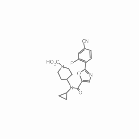 N#Cc1ccc(-c2ncc(C(=O)N(C3CC3)C3CCN(C(=O)O)CC3)o2)c(F)c1